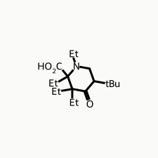 CCN1CC(C(C)(C)C)C(=O)C(CC)(CC)C1(CC)C(=O)O